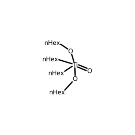 CCCCCC[O][Ti](=[O])([CH2]CCCCC)([CH2]CCCCC)[O]CCCCCC